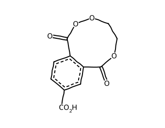 O=C(O)c1ccc2c(c1)C(=O)OCCOOC2=O